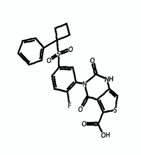 O=C(O)c1scc2[nH]c(=O)n(-c3cc(S(=O)(=O)C4(c5ccccc5)CCC4)ccc3F)c(=O)c12